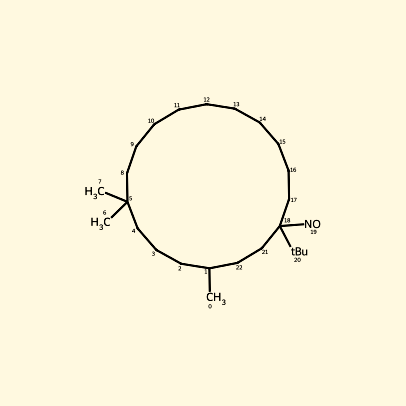 CC1CCCC(C)(C)CCCCCCCCCCC(N=O)(C(C)(C)C)CC1